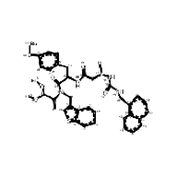 CCOC(OCC)C(C)N(Cc1csc2ccccc12)C(=O)C(Cc1ccc(OC(C)(C)C)cc1)NC(=O)CN(C)NC(=O)NCc1cccc2ccccc12